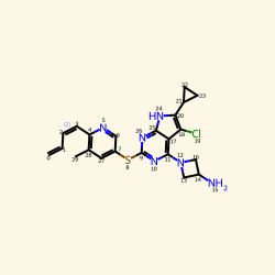 C=C/C=C\c1ncc(Sc2nc(N3CC(N)C3)c3c(Cl)c(C4CC4)[nH]c3n2)cc1C